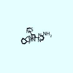 N=C(/C=C(\NCc1ccccc1F)c1nccs1)c1nccc(N)n1